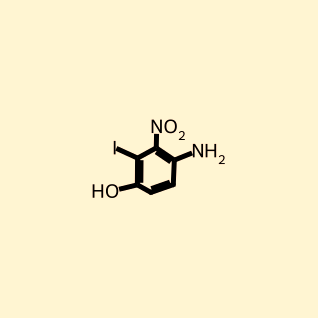 Nc1ccc(O)c(I)c1[N+](=O)[O-]